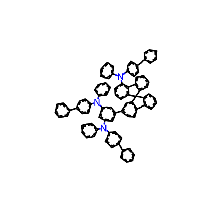 c1ccc(-c2ccc(N(c3ccccc3)c3cc(-c4ccc5c(c4)C4(c6ccccc6-5)c5ccccc5-c5c(N(c6ccccc6)c6ccc(-c7ccccc7)cc6)cccc54)cc(N(c4ccccc4)c4ccc(-c5ccccc5)cc4)c3)cc2)cc1